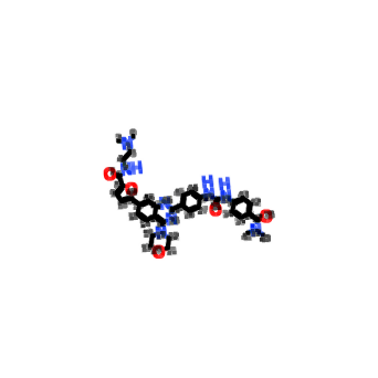 CN(C)CCNC(=O)c1ccc(-c2ccc3c(N4CCOCC4)nc(-c4ccc(NC(=O)Nc5ccc(C(=O)N(C)C)cc5)cc4)nc3c2)o1